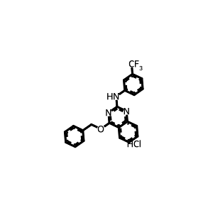 Cl.FC(F)(F)c1cccc(Nc2nc(OCc3ccccc3)c3ccccc3n2)c1